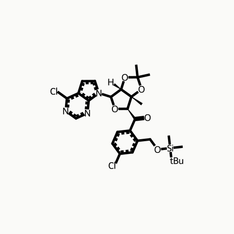 CC1(C)O[C@H]2C(n3ccc4c(Cl)ncnc43)O[C@H](C(=O)c3ccc(Cl)cc3CO[Si](C)(C)C(C)(C)C)[C@@]2(C)O1